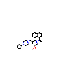 C=C(c1cccc2ccccc12)N(/C=C(\C)CN1CCN(C2CCCC2)CC1)CCOC